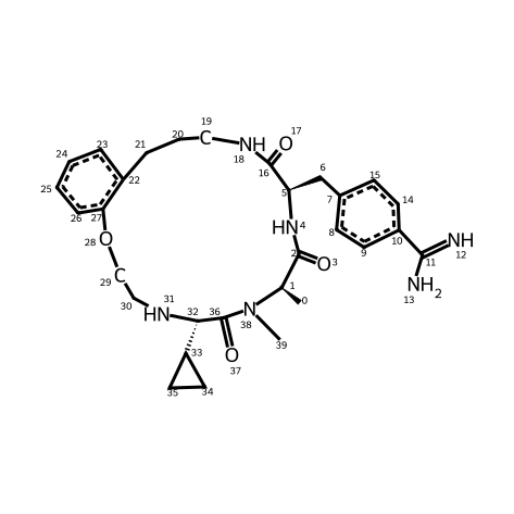 C[C@@H]1C(=O)N[C@H](Cc2ccc(C(=N)N)cc2)C(=O)NCCCc2ccccc2OCCN[C@@H](C2CC2)C(=O)N1C